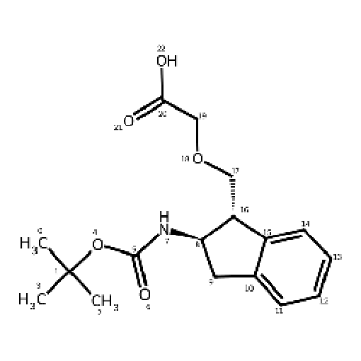 CC(C)(C)OC(=O)N[C@@H]1Cc2ccccc2[C@H]1COCC(=O)O